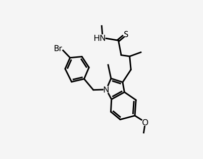 CNC(=S)CC(C)Cc1c(C)n(Cc2ccc(Br)cc2)c2ccc(OC)cc12